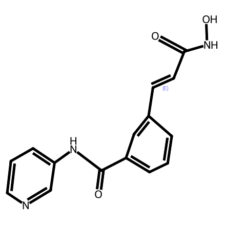 O=C(/C=C/c1cccc(C(=O)Nc2cccnc2)c1)NO